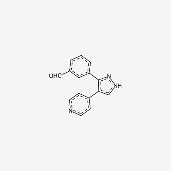 O=Cc1cccc(-c2n[nH]cc2-c2ccncc2)c1